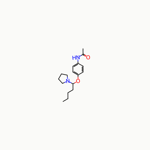 CCCCC(Oc1ccc(NC(C)=O)cc1)N1CCCC1